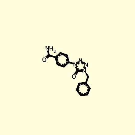 NC(=O)c1ccc(-n2nnn(Cc3ccccc3)c2=O)cc1